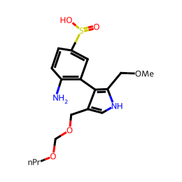 CCCOCOCc1c[nH]c(COC)c1-c1cc(S(=O)O)ccc1N